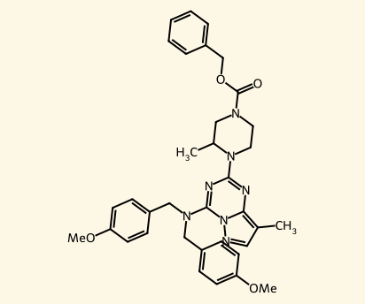 COc1ccc(CN(Cc2ccc(OC)cc2)c2nc(N3CCN(C(=O)OCc4ccccc4)CC3C)nc3c(C)cnn23)cc1